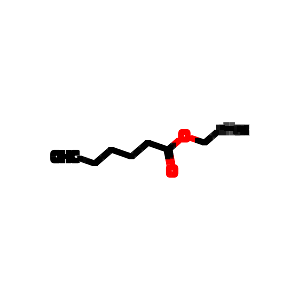 CCCCCCCOC(=O)CCCCC=O